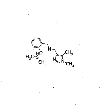 Cc1c(C=NCc2ccccc2O[SiH](C)C)ncn1C